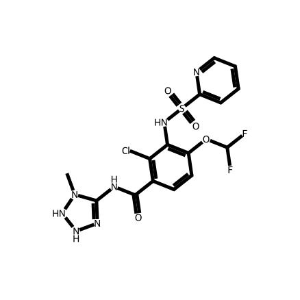 CN1NNN=C1NC(=O)c1ccc(OC(F)F)c(NS(=O)(=O)c2ccccn2)c1Cl